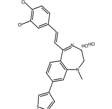 CN1CCN=C(/C=C/c2ccc(Cl)c(Cl)c2)c2ccc(-c3ccsc3)cc21.Cl.Cl